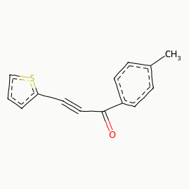 Cc1ccc(C(=O)C#Cc2cccs2)cc1